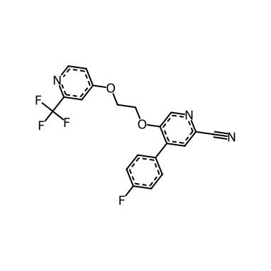 N#Cc1cc(-c2ccc(F)cc2)c(OCCOc2ccnc(C(F)(F)F)c2)cn1